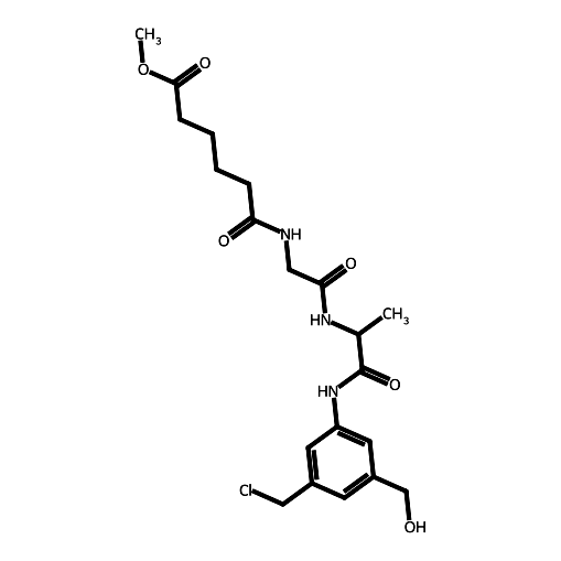 COC(=O)CCCCC(=O)NCC(=O)NC(C)C(=O)Nc1cc(CO)cc(CCl)c1